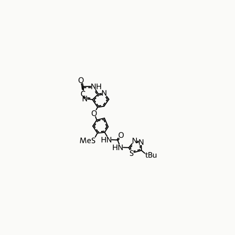 CSc1cc(Oc2ccnc3[nH]c(=O)cnc23)ccc1NC(=O)Nc1nnc(C(C)(C)C)s1